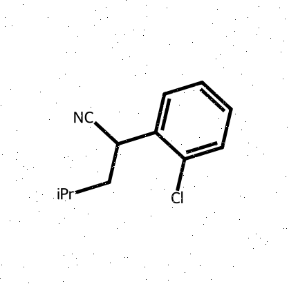 CC(C)CC(C#N)c1ccccc1Cl